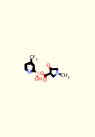 CN1CC(=O)C(C(=O)OB(O)c2cc(C(F)(F)F)ccn2)C1